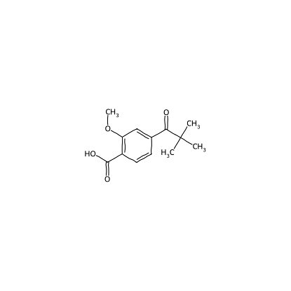 COc1cc(C(=O)C(C)(C)C)ccc1C(=O)O